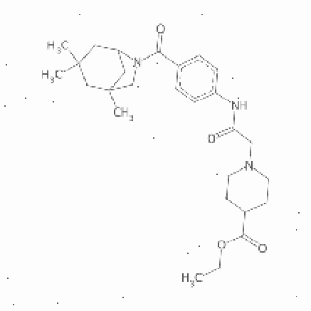 CCOC(=O)C1CCN(CC(=O)Nc2ccc(C(=O)N3CC4(C)CC3CC(C)(C)C4)cc2)CC1